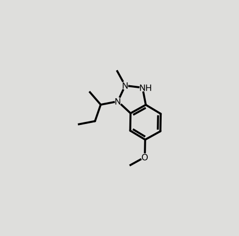 CCC(C)N1c2cc(OC)ccc2NN1C